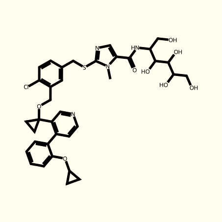 Cn1c(C(=O)NC(CO)C(O)C(O)C(O)CO)cnc1SCc1ccc(Cl)c(COC2(c3cnccc3-c3ccccc3OC3CC3)CC2)c1